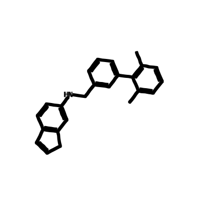 Cc1cccc(C)c1-c1cccc(CNc2ccc3c(c2)CC=C3)c1